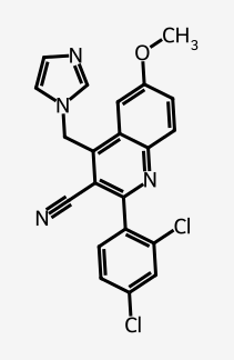 COc1ccc2nc(-c3ccc(Cl)cc3Cl)c(C#N)c(Cn3ccnc3)c2c1